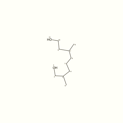 CC(CO)CCCC(C)CCO